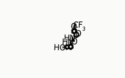 O=C(Nc1cccc2c1C[C@H](O)C2)N[C@H]1CCOc2cc(OC(F)(F)F)ccc21